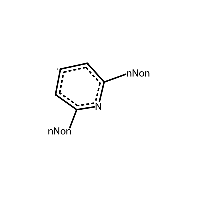 CCCCCCCCCc1c[c]cc(CCCCCCCCC)n1